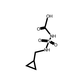 O=C(O)NS(=O)(=O)NCC1CC1